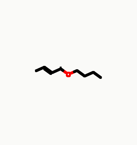 C/C=C/[CH]OCCCC